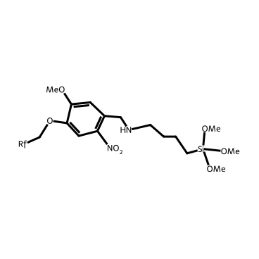 COc1cc(CNCCCC[Si](OC)(OC)OC)c([N+](=O)[O-])cc1O[CH2][Rf]